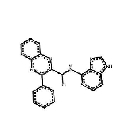 CCC(Nc1nccc2[nH]cnc12)c1nc2ccccc2nc1-c1ccccc1